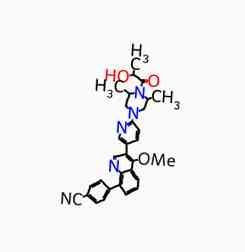 COc1c(-c2ccc(N3CC(C)N(C(=O)C(C)O)C(C)C3)nc2)cnc2c(-c3ccc(C#N)cc3)cccc12